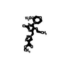 CCOc1c(Cn2cc(C(=O)OC)nn2)nc(Cl)nc1N1CCOC[C@H]1C